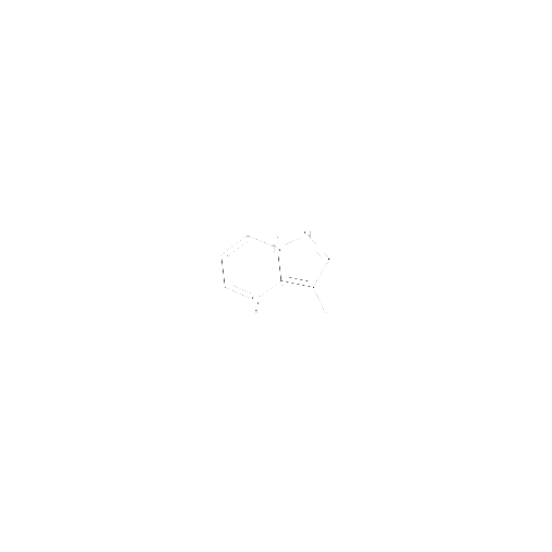 Fc1cnn2c[c]cnc12